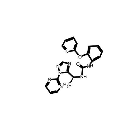 C[C@H](NC(=O)Nc1ccccc1Oc1ccccn1)c1ncnn1-c1ncccn1